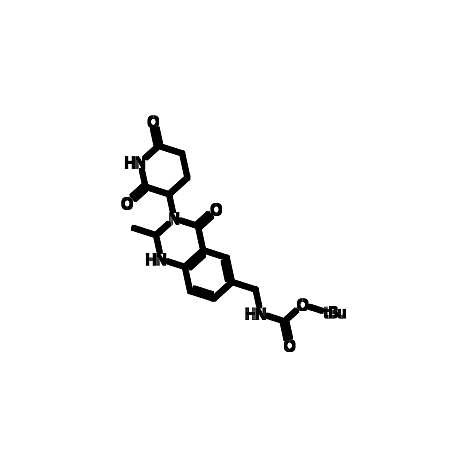 CC1Nc2ccc(CNC(=O)OC(C)(C)C)cc2C(=O)N1C1CCC(=O)NC1=O